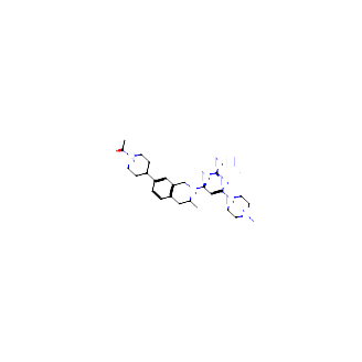 CC(=O)N1CCC(c2ccc3c(c2)CN(c2cc(N4CCN(C)CC4)nc(N)n2)C(C)C3)CC1